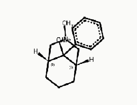 COC1(c2ccccc2)[C@@H]2CCC[C@H]1CN(C)C2